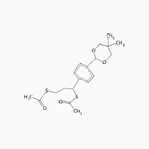 CC(=O)SCCC(SC(C)=O)c1ccc(C2OCC(C)(C)CO2)cc1